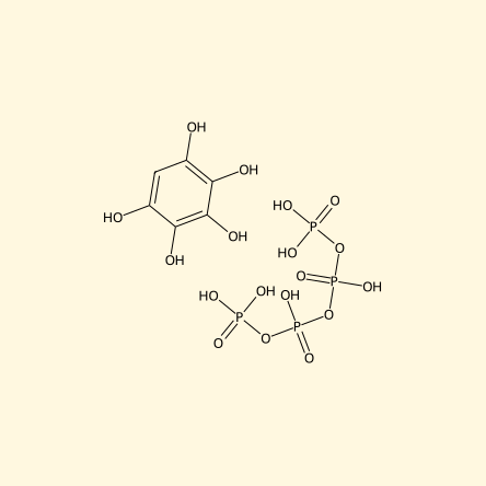 O=P(O)(O)OP(=O)(O)OP(=O)(O)OP(=O)(O)O.Oc1cc(O)c(O)c(O)c1O